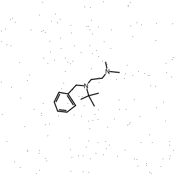 CN(C)CCN(Cc1ccccc1)C(C)(C)C